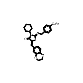 COc1ccc(C/N=C2\S/C(=C\c3ccc4c(c3)OCCO4)C(=O)N2C2CCCCC2)cc1